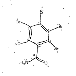 N#Cc1c(Br)c(Br)c(Br)c(Br)c1C(N)=O